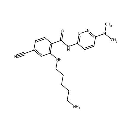 CN(C)c1ccc(NC(=O)c2ccc(C#N)cc2NCCCCCN)nn1